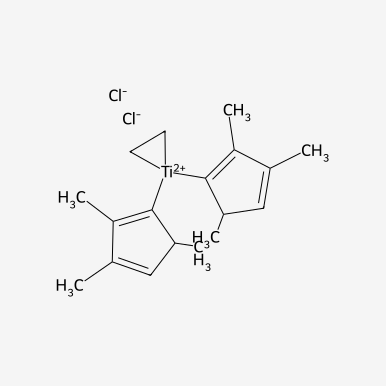 CC1=CC(C)[C]([Ti+2]2([C]3=C(C)C(C)=CC3C)[CH2][CH2]2)=C1C.[Cl-].[Cl-]